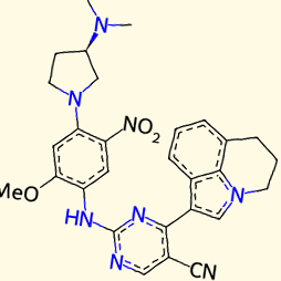 COc1cc(N2CC[C@@H](N(C)C)C2)c([N+](=O)[O-])cc1Nc1ncc(C#N)c(-c2cn3c4c(cccc24)CCC3)n1